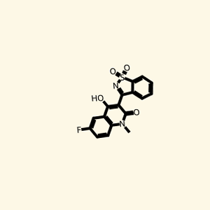 Cn1c(=O)c(C2=NS(=O)(=O)c3ccccc32)c(O)c2cc(F)ccc21